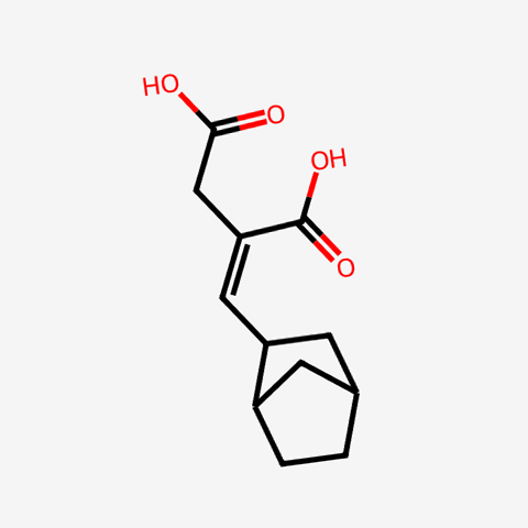 O=C(O)CC(=CC1CC2CCC1C2)C(=O)O